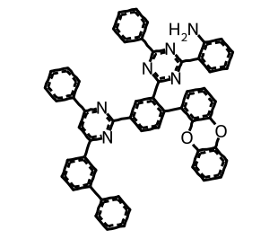 Nc1ccccc1-c1nc(-c2ccccc2)nc(-c2cc(-c3nc(-c4ccccc4)cc(-c4cccc(-c5ccccc5)c4)n3)ccc2-c2cccc3c2Oc2ccccc2O3)n1